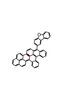 c1ccc(-c2ccc3ccc4cccc5ccc2c3c45)c(-c2c3ccccc3c(-c3ccc4oc5ccccc5c4c3)c3ccccc23)c1